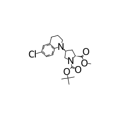 COC(=O)[C@@H]1C[C@H](N2CCCc3cc(Cl)ccc32)CN1C(=O)OC(C)(C)C